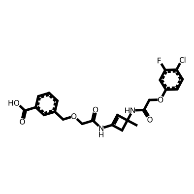 CC1(NC(=O)COc2ccc(Cl)c(F)c2)C=C(NC(=O)COCc2cccc(C(=O)O)c2)C1